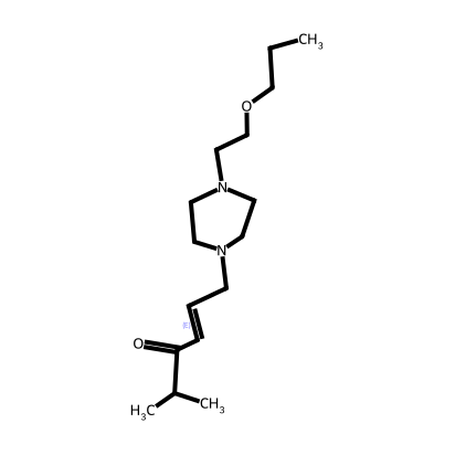 CCCOCCN1CCN(C/C=C/C(=O)C(C)C)CC1